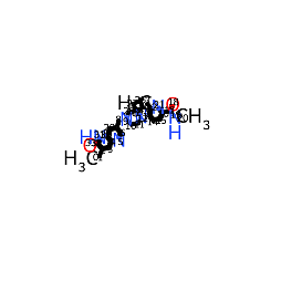 CCc1cc2ncc(CN3CCN(c4ccc(C(=O)NC)nc4C)C4(CCC4)C3)cc2[nH]c1=O